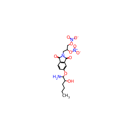 CCCCC(O)C(N)Oc1ccc2c(c1)C(=O)N(CC(CO[N+](=O)[O-])O[N+](=O)[O-])C2=O